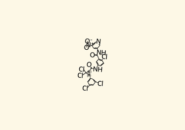 O=C(Nc1cncc([N+](=O)[O-])c1)c1cc(NC(=O)[C@H]2[C@H](c3cc(Cl)cc(Cl)c3)C2(Cl)Cl)ccc1Cl